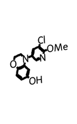 COc1ncc(N2CCOc3ccc(O)cc32)cc1Cl